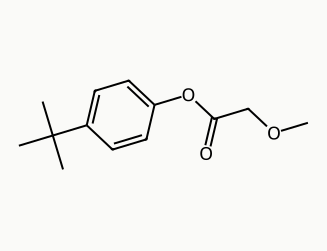 COCC(=O)Oc1ccc(C(C)(C)C)cc1